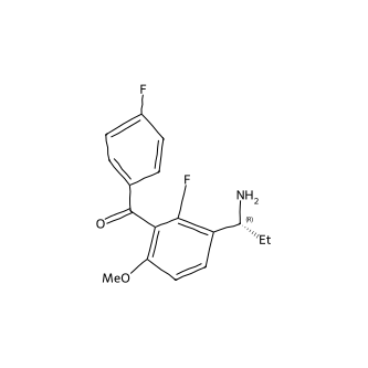 CC[C@@H](N)c1ccc(OC)c(C(=O)c2ccc(F)cc2)c1F